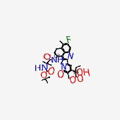 CC[C@@]1(O)C(=O)OCc2c1cc1n(c2=O)Cc2c-1nc1cc(F)c(C)c3c1c2[C@@H](NC(=O)C(C)(C)NC(=O)OC(C)(C)C)CC3